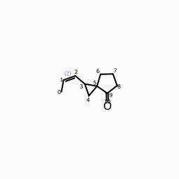 C/C=C\C1CC12CCCC2=O